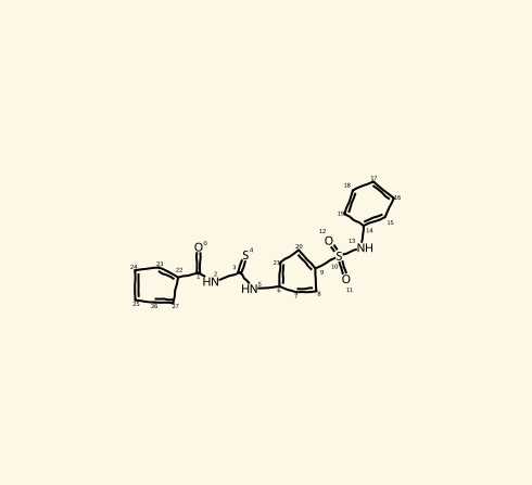 O=C(NC(=S)Nc1ccc(S(=O)(=O)Nc2ccccc2)cc1)c1ccccc1